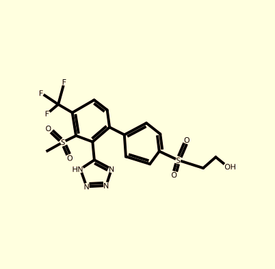 CS(=O)(=O)c1c(C(F)(F)F)ccc(-c2ccc(S(=O)(=O)CCO)cc2)c1-c1nnn[nH]1